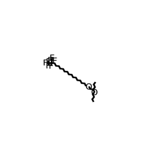 CCCCOC(CCC)COCCCCCCCCCCCCCCCCC(F)(C(F)(F)F)C(F)(F)F